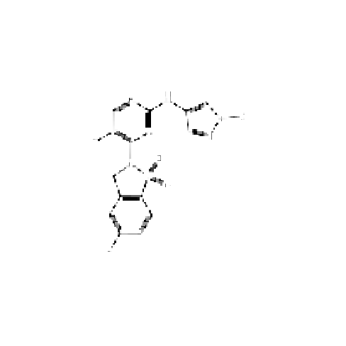 Cn1cc(Nc2ncc(F)c(N3Cc4cc(F)ccc4S3(=O)=O)n2)cn1